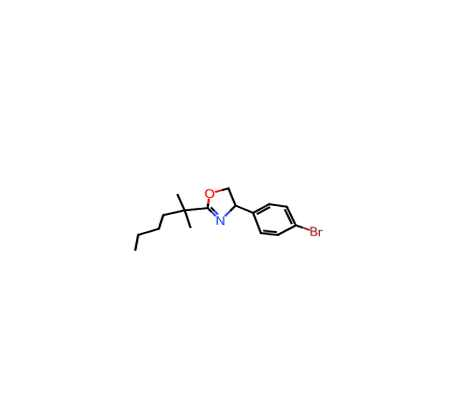 CCCCC(C)(C)C1=NC(c2ccc(Br)cc2)CO1